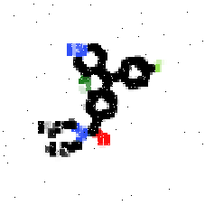 CCN(CC)C(=O)c1ccc(C(=C2CCNCC2Cl)c2ccc(F)cc2)cc1